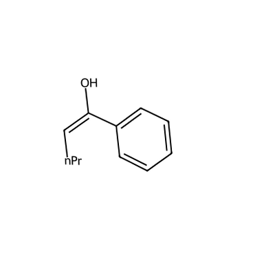 CCC/C=C(/O)c1ccccc1